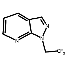 FC(F)(F)Cn1ncc2cccnc21